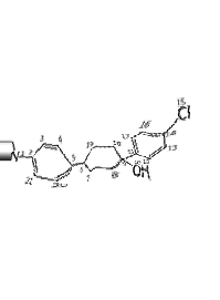 CNc1ccc(C2CCC(O)(c3ccc(Cl)cc3)CC2)cc1